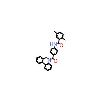 Cc1ccc(C)c(C(=O)Nc2ccc(C(=O)N3Cc4ccccc4-c4ccccc43)cc2)c1